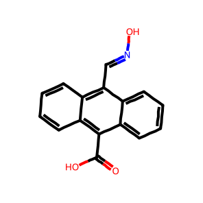 O=C(O)c1c2ccccc2c(C=NO)c2ccccc12